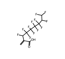 C=C(C(=O)O)C(F)C(F)(F)C(F)(F)C(F)(F)C(F)(F)C(F)C(F)F